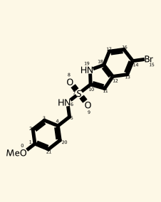 COc1ccc(CNS(=O)(=O)c2cc3cc(Br)ccc3[nH]2)cc1